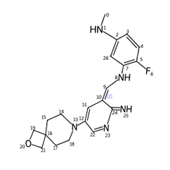 CNc1ccc(F)c(N/C=C2/C=C(N3CCC4(CC3)COC4)C=NC2=N)c1